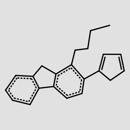 CCCCc1c(C2=CC=CC2)ccc2c1Cc1ccccc1-2